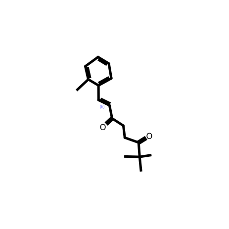 Cc1ccccc1/C=C/C(=O)CCC(=O)C(C)(C)C